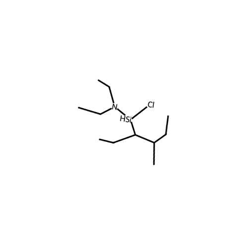 CCC(C)C(CC)[SiH](Cl)N(CC)CC